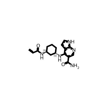 C=CC(=O)N[C@H]1CCC[C@H](Nc2c(C(N)=O)cnc3[nH]ccc23)C1